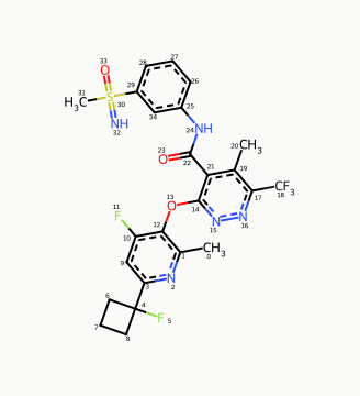 Cc1nc(C2(F)CCC2)cc(F)c1Oc1nnc(C(F)(F)F)c(C)c1C(=O)Nc1cccc(S(C)(=N)=O)c1